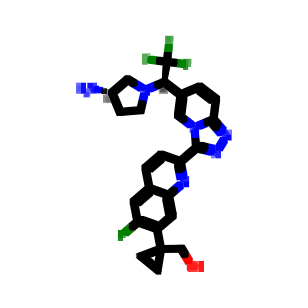 N[C@H]1CCN([C@H](c2ccc3nnc(-c4ccc5cc(F)c(C6(CO)CC6)cc5n4)n3c2)C(F)(F)F)C1